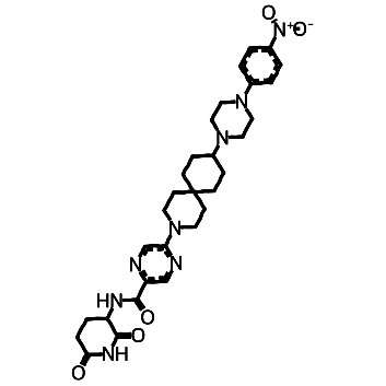 O=C1CCC(NC(=O)c2cnc(N3CCC4(CCC(N5CCN(c6ccc([N+](=O)[O-])cc6)CC5)CC4)CC3)cn2)C(=O)N1